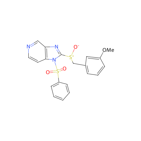 COc1cccc(C[S+]([O-])c2nc3cnccc3n2S(=O)(=O)c2ccccc2)c1